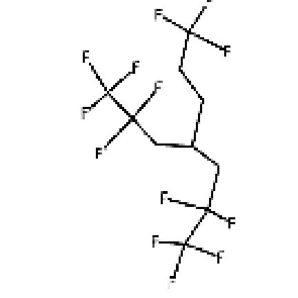 FC(F)(F)CCC(CC(F)(F)C(F)(F)F)CC(F)(F)C(F)(F)F